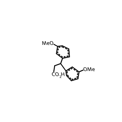 COc1cccc(C(CC(=O)O)c2cccc(OC)c2)c1